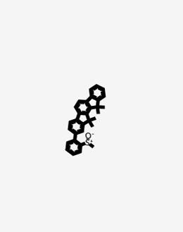 C[S+]([O-])c1ccccc1-c1ccc2c(c1)C(C)(C)c1c-2ccc2c1C(C)(C)c1ccccc1-2